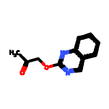 CC(=O)COc1ncc2ccccc2n1